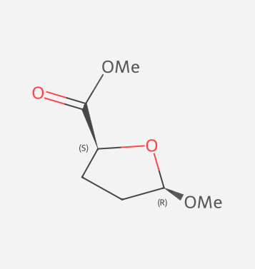 COC(=O)[C@@H]1CC[C@H](OC)O1